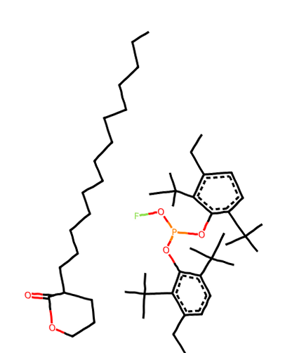 CCCCCCCCCCCCCCC1CCCOC1=O.CCc1ccc(C(C)(C)C)c(OP(OF)Oc2c(C(C)(C)C)ccc(CC)c2C(C)(C)C)c1C(C)(C)C